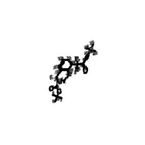 C[C@@H](NC(=O)OC(C)(C)C)c1cccc(C(F)(F)C(=O)C#C[Si](C)(C)C)c1F